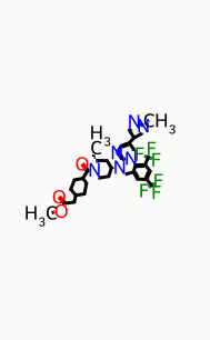 CC[C@@H]1C[C@H](N(Cc2cc(C(F)(F)F)cc(C(F)(F)F)c2)c2ncc(C3C=NN(C)C3)cn2)CCN1C(=O)C1CCC(CC(=O)OC)CC1